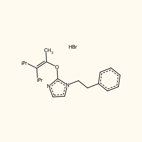 Br.CC(Oc1nccn1CCc1ccccc1)=C(C(C)C)C(C)C